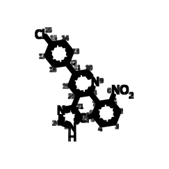 O=[N+]([O-])c1cccc(Cl)c1-c1ncc(-c2ccc(Cl)cc2)cc1-c1c[nH]cn1